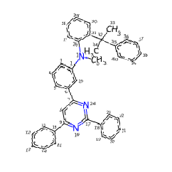 CN(c1cccc(-c2cc(-c3ccccc3)nc(-c3ccccc3)n2)c1)c1ccccc1C(C)(C)c1ccccc1